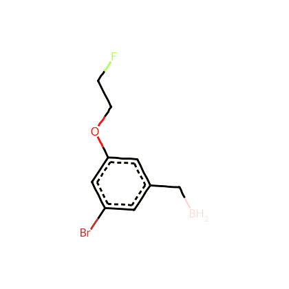 BCc1cc(Br)cc(OCCF)c1